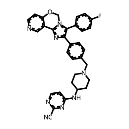 N#Cc1nccc(NC2CCN(Cc3ccc(-c4nc5n(c4-c4ccc(F)cc4)COc4ccncc4-5)cc3)CC2)n1